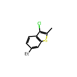 CCc1ccc2c(Cl)c(C)sc2c1